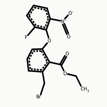 CCOC(=O)c1c(CBr)cccc1Oc1c(F)cccc1[N+](=O)[O-]